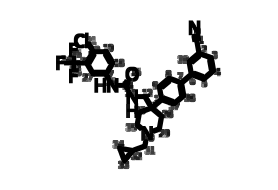 N#Cc1cccc(-c2ccc(C3(CNC(=O)Nc4ccc(Cl)c(C(F)(F)F)c4)CCN(CC4CC4)CC3)cc2)c1